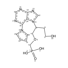 O=P(O)(O)COCC(CCO)n1cnc2ncnc(-n3cccc3)c21